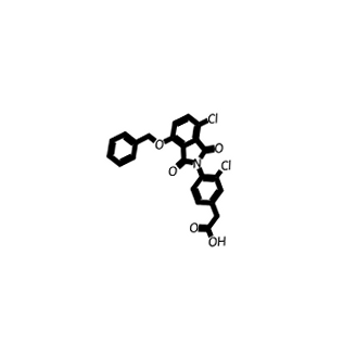 O=C(O)Cc1ccc(N2C(=O)c3c(Cl)ccc(OCc4ccccc4)c3C2=O)c(Cl)c1